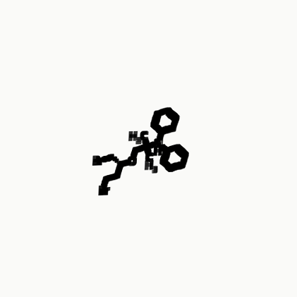 CC(C)(CO[C@@H](CBr)CCBr)[SiH](c1ccccc1)c1ccccc1